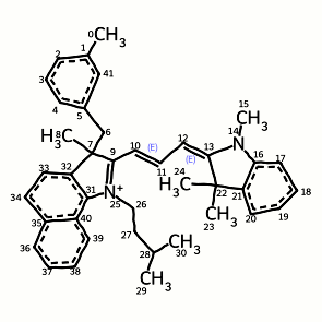 Cc1cccc(CC2(C)C(/C=C/C=C3/N(C)c4ccccc4C3(C)C)=[N+](CCC(C)C)c3c2ccc2ccccc32)c1